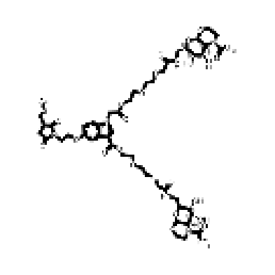 CC(=O)SCC1CC(=O)N(CCOc2ccc3c(c2)c(C(=O)OCCOCCOCC(=O)NCC2OC4OCCN(C(=O)C(F)(F)F)[C@@H]4[C@@H](O)[C@H]2O)cn3CC(=O)OCCOCCOCC(=O)NC[C@H]2OC3OCCN(C(=O)C(F)(F)F)[C@@H]3[C@@H](O)[C@H]2O)C1=O